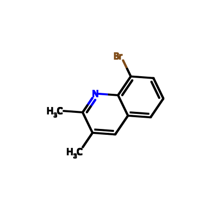 Cc1cc2cccc(Br)c2nc1C